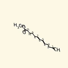 C#CCC/C=C/C=C/CCCCC(=O)OC